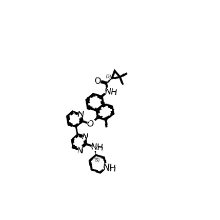 Cc1ccc2c(NC(=O)[C@H]3CC3(C)C)cccc2c1Oc1ncccc1-c1ccnc(N[C@H]2CCCNC2)n1